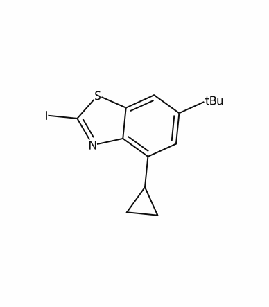 CC(C)(C)c1cc(C2CC2)c2nc(I)sc2c1